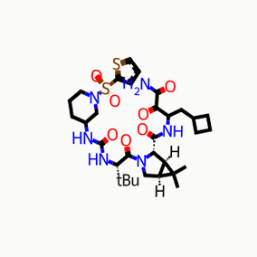 CC(C)(C)[C@H](NC(=O)NC1CCCN(S(=O)(=O)c2cccs2)C1)C(=O)N1C[C@H]2[C@@H]([C@H]1C(=O)NC(CC1CCC1)C(=O)C(N)=O)C2(C)C